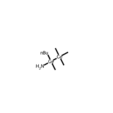 CCC[CH2][Ge]([CH3])([NH2])[Ge]([CH3])([CH3])[CH3]